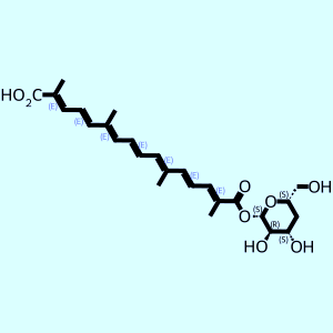 CC(/C=C/C=C(\C)C(=O)O)=C\C=C\C=C(C)\C=C\C=C(/C)C(=O)O[C@@H]1O[C@H](CO)C[C@H](O)[C@H]1O